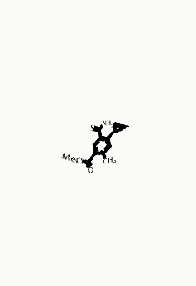 COC(=O)c1cc(C(N)=S)c(C2CC2)cc1C